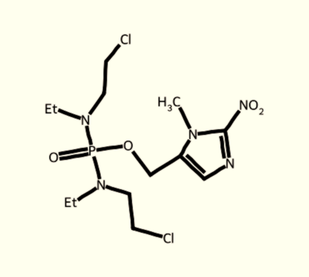 CCN(CCCl)P(=O)(OCc1cnc([N+](=O)[O-])n1C)N(CC)CCCl